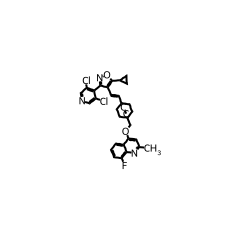 Cc1cc(OCC23CCC(/C=C/c4c(-c5c(Cl)cncc5Cl)noc4C4CC4)(CC2)CC3)c2cccc(F)c2n1